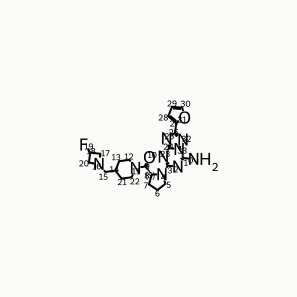 Nc1nc(N2CCC[C@H]2C(=O)N2CCC(CN3CC(F)C3)CC2)nc2nc(-c3ccco3)nn12